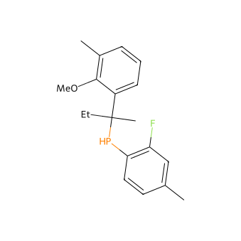 CCC(C)(Pc1ccc(C)cc1F)c1cccc(C)c1OC